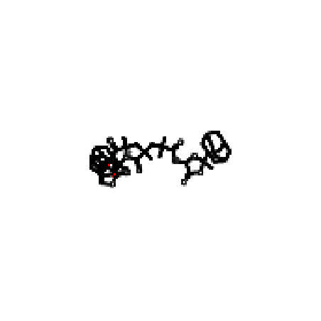 CCC(C)(CC(C)(CC(C)(C)C(=O)OC1OC(C)(C23CC4CC(CC(C4)C2)C3)OC1=O)C(=O)OC1(C)C2CC3CC(C2)CC1C3)C(=O)OC1C2CC3C(=O)OC1C3C2